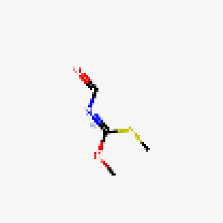 CO/C(=N/C=O)SC